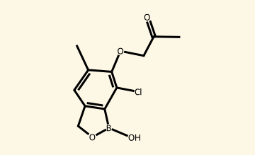 CC(=O)COc1c(C)cc2c(c1Cl)B(O)OC2